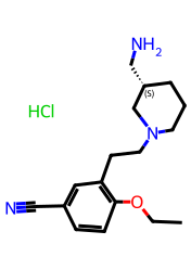 CCOc1ccc(C#N)cc1CCN1CCC[C@@H](CN)C1.Cl